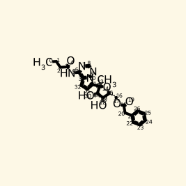 CCCC(=O)Nc1ncnn2c([C@]3(C)O[C@H](COC(=O)Cc4ccccc4)[C@@H](O)[C@H]3O)ccc12